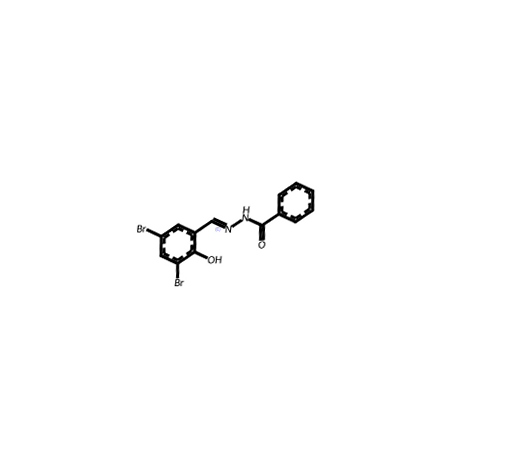 O=C(N/N=C/c1cc(Br)cc(Br)c1O)c1ccccc1